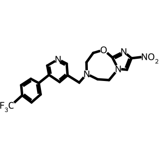 O=[N+]([O-])c1cn2c(n1)OCCN(Cc1cncc(-c3ccc(C(F)(F)F)cc3)c1)CC2